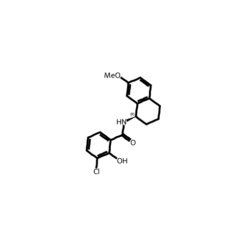 COc1ccc2c(c1)[C@H](NC(=O)c1cccc(Cl)c1O)CCC2